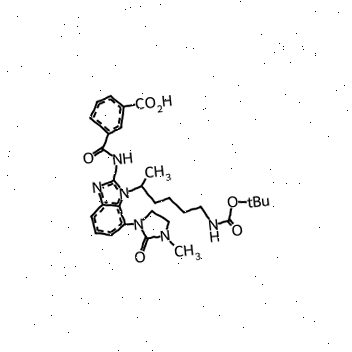 CC(CCCCNC(=O)OC(C)(C)C)n1c(NC(=O)c2cccc(C(=O)O)c2)nc2cccc(N3CCN(C)C3=O)c21